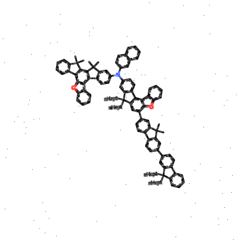 CCCCCCCC1(CCCCCCC)c2ccccc2-c2ccc(-c3ccc4c(c3)C(C)(C)c3cc(-c5cc6c(c7c5oc5ccccc57)-c5ccc(N(c7ccc8c(c7)C(C)(C)c7c9c(c%10oc%11ccccc%11c%10c7-8)-c7ccccc7C9(C)C)c7ccc8ccccc8c7)cc5C6(CCCCCCC)CCCCCCC)ccc3-4)cc21